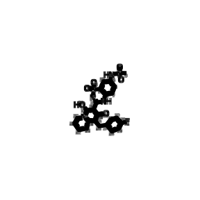 CS(=O)(=O)Nc1ccc2c(c1)S(=O)(=O)N=C(c1c(O)n3ccccc3c(Cc3ccc(F)cc3)c1=O)N2